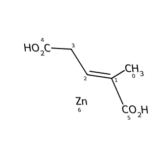 CC(=CCC(=O)O)C(=O)O.[Zn]